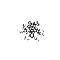 Cc1cc(-c2cc(N3c4c(C)c(C)c(C)c(C)c4Cc4c(C)c(C)c(C)c(C)c43)c(C#N)c(N3c4c(C)c(C)c(C)c(C)c4Cc4c(C)c(C)c(C)c(C)c43)c2)cc(C(F)(F)F)c1